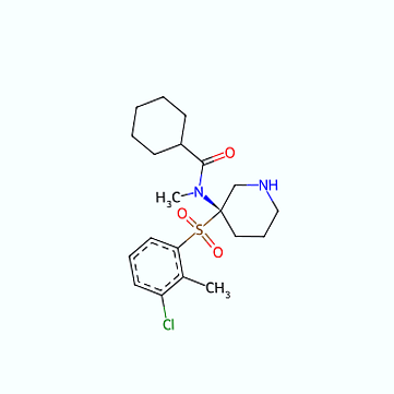 Cc1c(Cl)cccc1S(=O)(=O)[C@@]1(N(C)C(=O)C2CCCCC2)CCCNC1